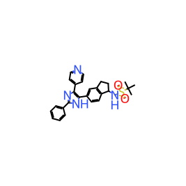 CC(C)(C)S(=O)(=O)NC1CCc2cc(-c3[nH]c(-c4ccccc4)nc3-c3ccncc3)ccc21